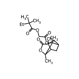 CCC(C)(C)C(=O)OCC(=O)OC1(C)C2CC3C(C)(C2)C(=O)OC31C